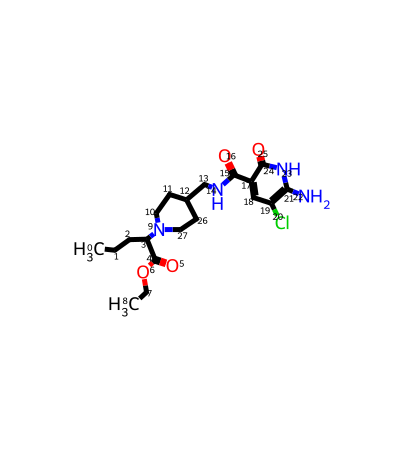 CCCC(C(=O)OCC)N1CCC(CNC(=O)c2cc(Cl)c(N)[nH]c2=O)CC1